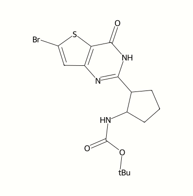 CC(C)(C)OC(=O)NC1CCCC1c1nc2cc(Br)sc2c(=O)[nH]1